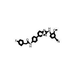 COc1cc(C#N)ccc1Nc1nc2ccc(-c3ccc(NC(=O)Cc4ccc(F)cc4)cc3)cn2n1